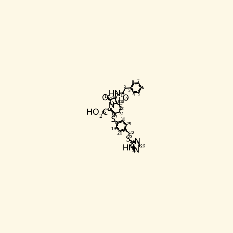 O=C(Cc1ccccc1)N[C@@H]1C(=O)N2C(C(=O)O)=C(Sc3ccc(CSc4ncn[nH]4)cc3)CS[C@H]12